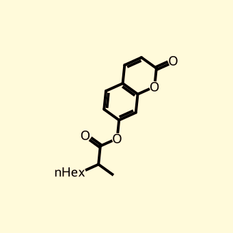 CCCCCCC(C)C(=O)Oc1ccc2ccc(=O)oc2c1